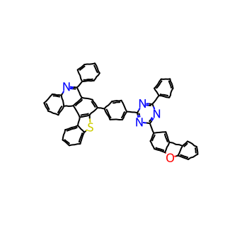 c1ccc(-c2nc(-c3ccc(-c4cc5c(-c6ccccc6)nc6ccccc6c5c5c4sc4ccccc45)cc3)nc(-c3ccc4oc5ccccc5c4c3)n2)cc1